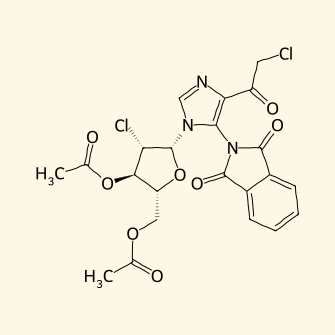 CC(=O)OC[C@H]1O[C@@H](n2cnc(C(=O)CCl)c2N2C(=O)c3ccccc3C2=O)[C@@H](Cl)[C@@H]1OC(C)=O